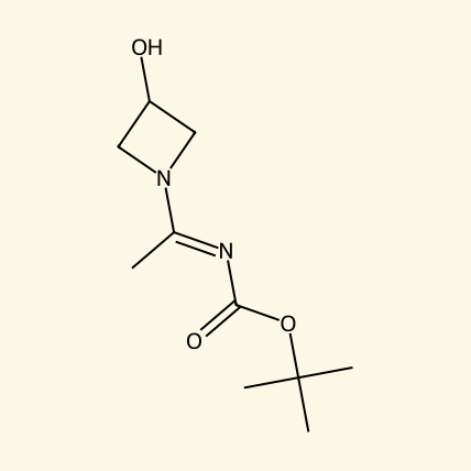 CC(=NC(=O)OC(C)(C)C)N1CC(O)C1